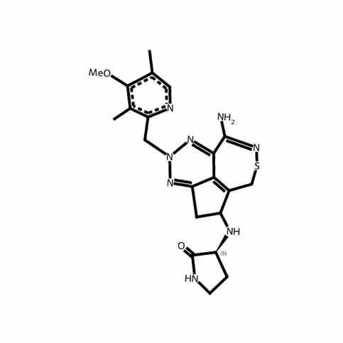 COc1c(C)cnc(CN2N=C3CC(N[C@H]4CCNC4=O)C4=C3C(=N2)C(N)=NSC4)c1C